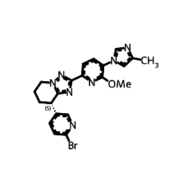 COc1nc(-c2nc3n(n2)CCC[C@H]3c2ccc(Br)nc2)ccc1-n1cnc(C)c1